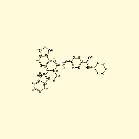 O=C(NC1CCCCC1)c1ccc(/C=C/C(=O)N2CCc3c([nH]c4ccccc34)C2c2ccc3c(c2)OCO3)cc1